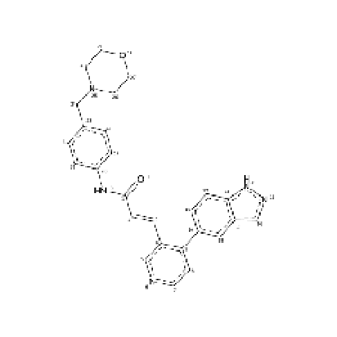 O=C(C=Cc1cnccc1-c1ccc2[nH]ncc2c1)Nc1ccc(CN2CCOCC2)cc1